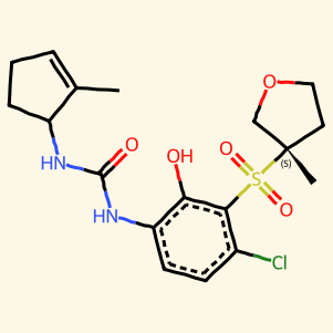 CC1=CCCC1NC(=O)Nc1ccc(Cl)c(S(=O)(=O)[C@@]2(C)CCOC2)c1O